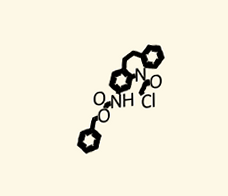 O=C(Nc1ccc2c(c1)N(C(=O)CCl)c1ccccc1CC2)OCc1ccccc1